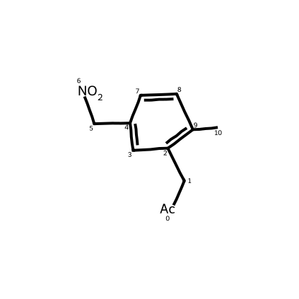 CC(=O)Cc1cc(C[N+](=O)[O-])ccc1C